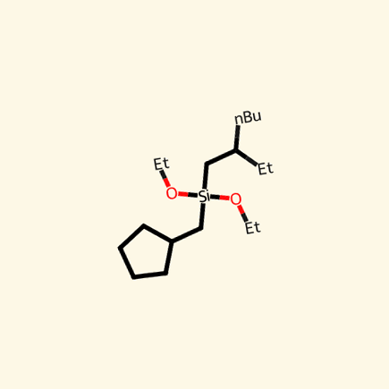 CCCCC(CC)C[Si](CC1CCCC1)(OCC)OCC